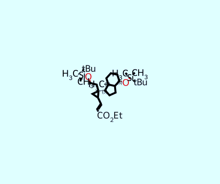 CCOC(=O)C=CC1CC1(CCO[Si](C)(C)C(C)(C)C)[C@H]1CCC2[C@@H](O[Si](C)(C)C(C)(C)C)CCC[C@@]21C